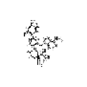 Nc1ncnc2c1ncn2Cc1cc(-c2ccc(C(F)(F)F)cc2F)ncc1N1CCC[C@](N)([C@@H](O)C(F)F)C1